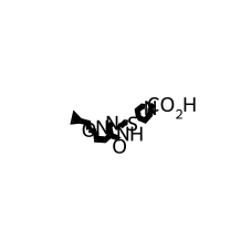 O=C(O)N1CCC(SCc2nc3nc(OCC4CC4)ccc3c(=O)[nH]2)CC1